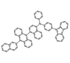 c1ccc(N(c2ccc(-n3c4ccccc4c4ccccc43)cc2)c2ccc(-c3c4ccccc4c(-c4ccc5ccccc5c4)c4ccccc34)c3ccccc23)cc1